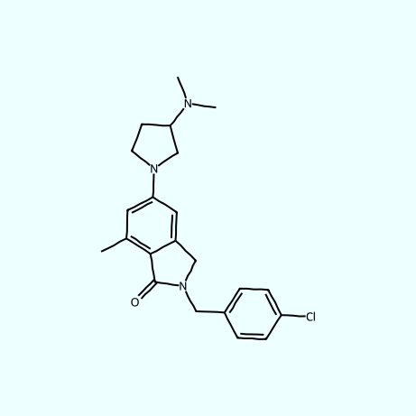 Cc1cc(N2CCC(N(C)C)C2)cc2c1C(=O)N(Cc1ccc(Cl)cc1)C2